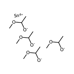 COC(C)[O-].COC(C)[O-].COC(C)[O-].COC(C)[O-].[Sn+4]